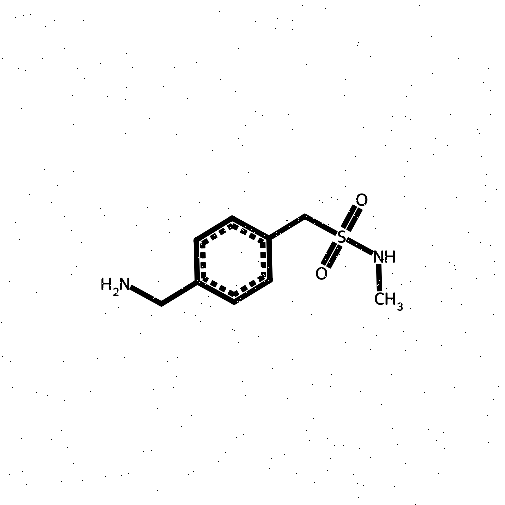 CNS(=O)(=O)Cc1ccc(CN)cc1